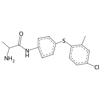 Cc1cc(Cl)ccc1Sc1ccc(NC(=O)C(C)N)cc1